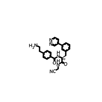 N#CCNC(=O)[C@H](Cc1cccc(-c2ccnnc2)c1)NC(=O)c1ccc(CCN)cc1